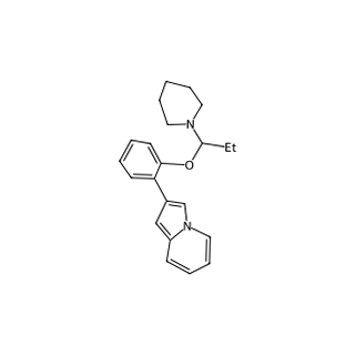 CCC(Oc1ccccc1-c1cc2ccccn2c1)N1CCCCC1